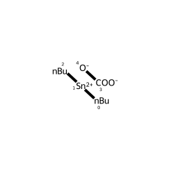 CCC[CH2][Sn+2][CH2]CCC.O=C([O-])[O-]